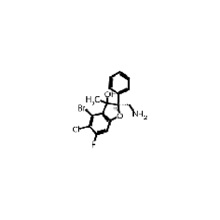 CC1(O)c2c(cc(F)c(Cl)c2Br)O[C@]1(CN)c1ccccc1